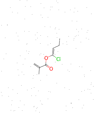 C=C(C)C(=O)OC(Cl)=CCC